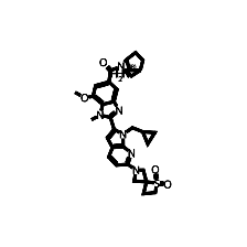 COc1cc(C(=O)N2CC3CCC2[C@@H]3N)cc2nc(-c3cc4ccc(N5CC6(CCS6(=O)=O)C5)nc4n3CC3CC3)n(C)c12